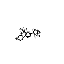 [2H]C([2H])([2H])NC(=O)c1ccc(N2CCNCC2)c(C([2H])([2H])[2H])n1